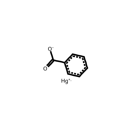 O=C([O-])c1ccccc1.[Hg+]